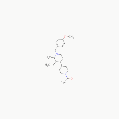 CC[C@H]1[C@@H](C)N(Cc2ccc(OC)cc2)CC[C@H]1C1CCN(C(C)=O)CC1